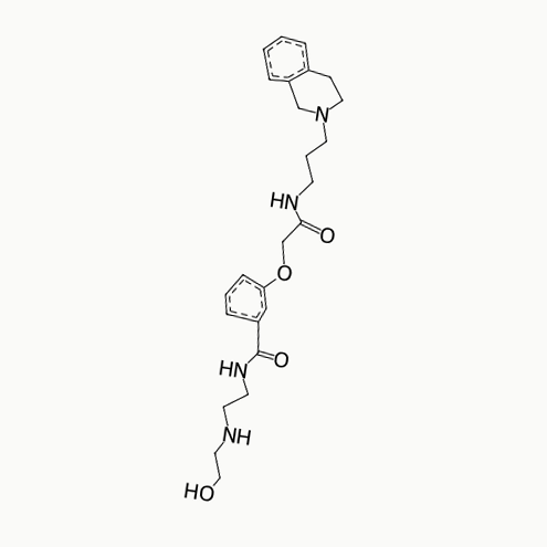 O=C(COc1cccc(C(=O)NCCNCCO)c1)NCCCN1CCc2ccccc2C1